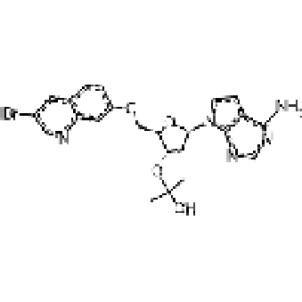 CC(C)(O)O[C@H]1C[C@H](n2ccc3c(N)ncnc32)O[C@@H]1COc1ccc2cc(Br)cnc2c1